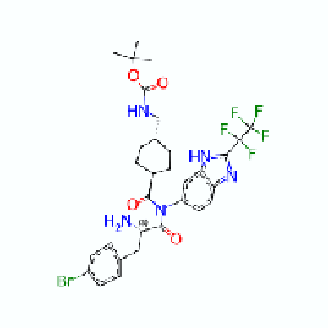 CC(C)(C)OC(=O)NC[C@H]1CC[C@H](C(=O)N(C(=O)[C@@H](N)Cc2ccc(Br)cc2)c2ccc3nc(C(F)(F)C(F)(F)F)[nH]c3c2)CC1